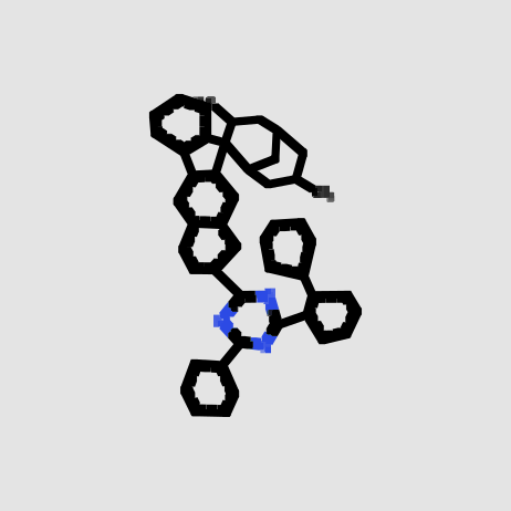 CC1CC2CC(C)C3(c4ccccc4-c4cc5ccc(-c6nc(-c7ccccc7)nc(-c7ccccc7-c7ccccc7)n6)cc5cc43)C(C1)C2